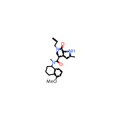 C=CCn1cc(C(=O)N(C)C2CCCc3c(OC)cccc32)c2cc(C)[nH]c2c1=O